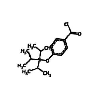 CC(C)[Si](Oc1ccc(C(=O)Cl)cc1)(C(C)C)C(C)C